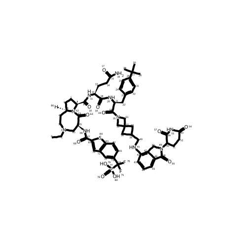 CCN1CC[C@H]2CC[C@@H](C(=O)N[C@@H](CCC(N)=O)C(=O)N[C@@H](Cc3ccc(C(C)(C)C)cc3)C(=O)N3CC4(CC(CNc5cccc6c5CN(C5CCC(=O)NC5=O)C6=O)C4)C3)N2C(=O)[C@@H](NC(=O)c2cc3cc(C(F)(F)P(=O)(O)O)ccc3s2)C1